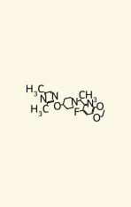 Cc1cnc(OC2CCN(C(C)c3nc4c(cc3F)OCCO4)CC2)c(C)n1